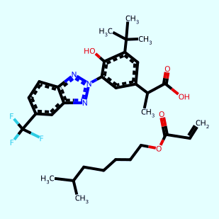 C=CC(=O)OCCCCCC(C)C.CC(C(=O)O)c1cc(-n2nc3ccc(C(F)(F)F)cc3n2)c(O)c(C(C)(C)C)c1